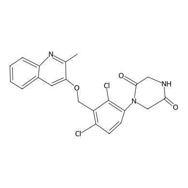 Cc1nc2ccccc2cc1OCc1c(Cl)ccc(N2CC(=O)NCC2=O)c1Cl